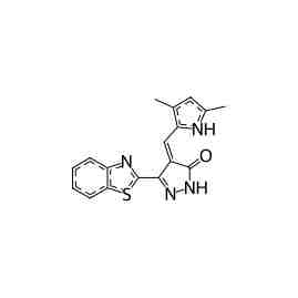 Cc1cc(C)c(C=C2C(=O)NN=C2c2nc3ccccc3s2)[nH]1